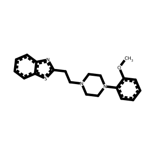 COc1ccccc1N1CCN(C[CH]c2nc3ccccc3s2)CC1